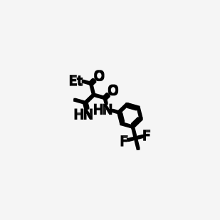 CCC(=O)C(C(C)=N)C(=O)Nc1cccc(C(C)(F)F)c1